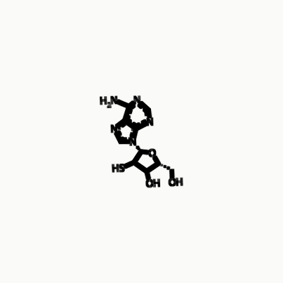 Nc1ncnc2c1ncn2[C@@H]1O[C@H](CO)C(O)C1S